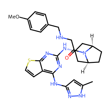 COc1ccc(CNCC(=O)N2[C@@H]3CC[C@H]2C[C@H](Nc2nc(Nc4cc(C)[nH]n4)c4ccsc4n2)C3)cc1